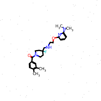 Cc1ccc(C(=O)N2CCC(F)(CNCCOc3cccc(N(C)C)n3)CC2)cc1C